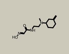 C=C1CCCC(N(C)CCNC(=O)C=NO)C1